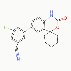 N#Cc1cc(F)cc(-c2ccc3c(c2)C2(CCCCC2)OC(=O)N3)c1